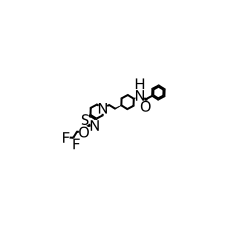 O=C(N[C@H]1CC[C@H](CCN2CCc3sc(OCC(F)F)nc3C2)CC1)c1ccccc1